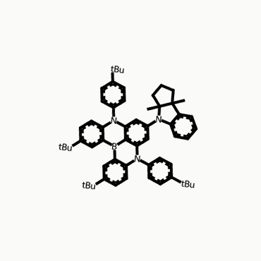 CC(C)(C)c1ccc(N2c3ccc(C(C)(C)C)cc3B3c4cc(C(C)(C)C)ccc4N(c4ccc(C(C)(C)C)cc4)c4cc(N5c6ccccc6C6(C)CCCC56C)cc2c43)cc1